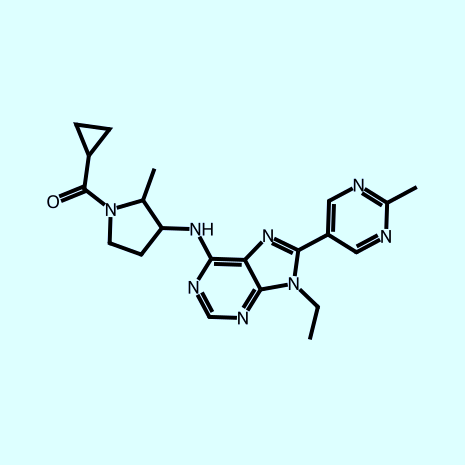 CCn1c(-c2cnc(C)nc2)nc2c(NC3CCN(C(=O)C4CC4)C3C)ncnc21